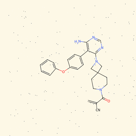 C=C(C#N)C(=O)N1CCC2(CC1)CN(c1ncnc(N)c1-c1ccc(Oc3ccccc3)cc1)C2